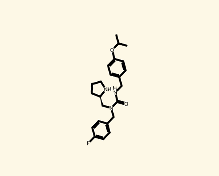 CC(C)Oc1ccc(CNC(=O)N(Cc2ccc(F)cc2)C[C@H]2CCCN2)cc1